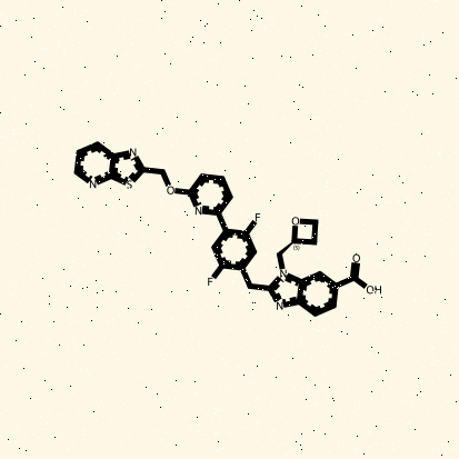 O=C(O)c1ccc2nc(Cc3cc(F)c(-c4cccc(OCc5nc6cccnc6s5)n4)cc3F)n(C[C@@H]3CCO3)c2c1